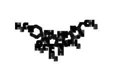 CCc1ncc(P)c(Nc2n[nH]c3c2CN(C(=O)C2(P)CCN(C)CC2)C3(C)C)n1